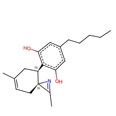 CCCCCc1cc(O)c([C@@H]2CC(C)=CC[C@]23N=C3C)c(O)c1